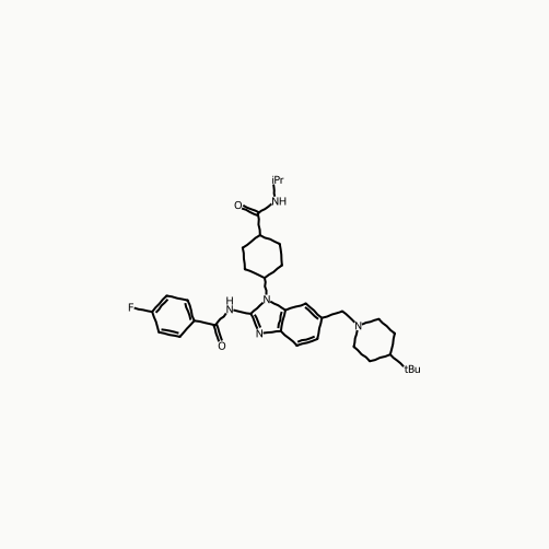 CC(C)NC(=O)C1CCC(n2c(NC(=O)c3ccc(F)cc3)nc3ccc(CN4CCC(C(C)(C)C)CC4)cc32)CC1